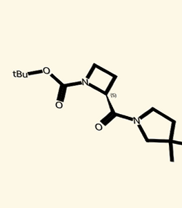 CC1(C)CCN(C(=O)[C@@H]2CCN2C(=O)OC(C)(C)C)C1